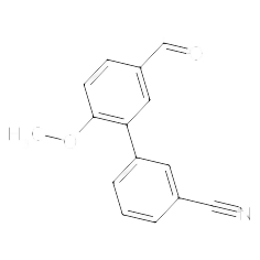 COc1ccc([C]=O)cc1-c1cccc(C#N)c1